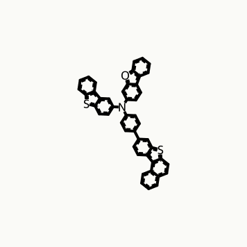 c1ccc2c(c1)ccc1sc3cc(-c4ccc(N(c5ccc6c(c5)oc5ccccc56)c5ccc6sc7ccccc7c6c5)cc4)ccc3c12